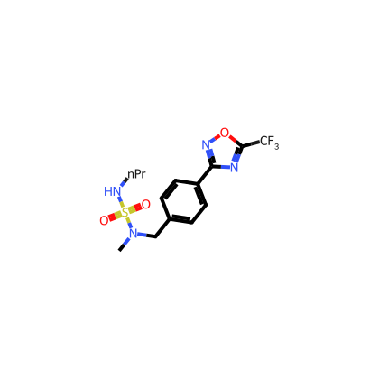 CCCNS(=O)(=O)N(C)Cc1ccc(-c2noc(C(F)(F)F)n2)cc1